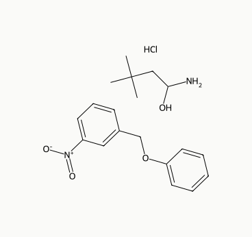 CC(C)(C)CC(N)O.Cl.O=[N+]([O-])c1cccc(COc2ccccc2)c1